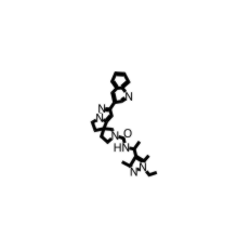 CCn1nc(C)c(C(C)NC(=O)N2CCC3(CCn4nc(-c5cnc6ccccc6c5)cc43)C2)c1C